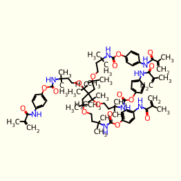 C=C(C)C(=O)Nc1ccc(OC(=O)NC(C)(C)CCOC(C)(C)CC(CC(C)(C)OCCC(C)(C)NC(=O)Oc2ccc(NC(=O)C(=C)C)cc2)(C(C)(C)OCCC(C)(C)NC(=O)Oc2ccc(NC(=O)C(=C)C)cc2)C(C)(C)OCCC(C)(C)NC(=O)Oc2ccc(NC(=O)C(=C)C)cc2)cc1